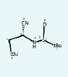 CC(C)(C)C[C@H](C#N)N[S+]([O-])C(C)(C)C